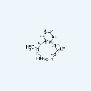 CC1CNCCOC(=O)Nc2ccccc2C1